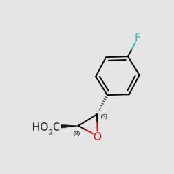 O=C(O)[C@@H]1O[C@H]1c1ccc(F)cc1